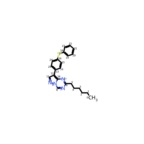 CCCCCCc1n[c]n2ncc(-c3ccc(Sc4ccccc4)cc3)c2n1